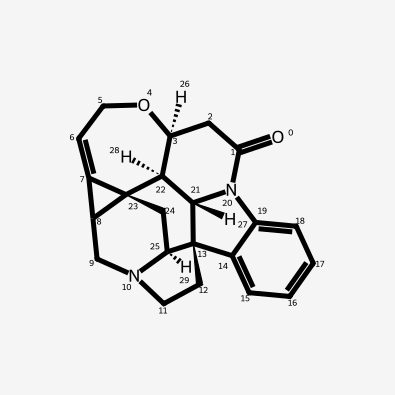 O=C1C[C@@H]2OCC=C3C4CN5CC[C@]67c8ccccc8N1[C@H]6[C@H]2[C@@]34C[C@H]57